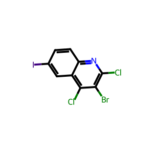 Clc1nc2ccc(I)cc2c(Cl)c1Br